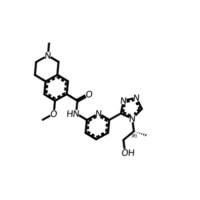 COc1cc2c(cc1C(=O)Nc1cccc(-c3nncn3[C@H](C)CO)n1)CN(C)CC2